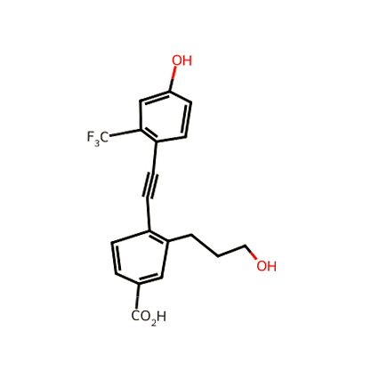 O=C(O)c1ccc(C#Cc2ccc(O)cc2C(F)(F)F)c(CCCO)c1